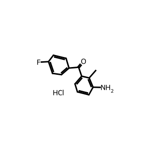 Cc1c(N)cccc1C(=O)c1ccc(F)cc1.Cl